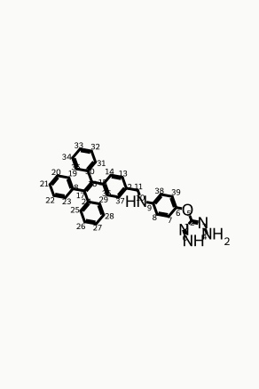 N=NC(=NN)Oc1ccc(NCc2ccc(C(=C(c3ccccc3)c3ccccc3)c3ccccc3)cc2)cc1